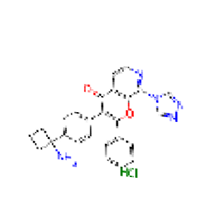 Cl.NC1(c2ccc(-c3c(-c4ccccc4)oc4c(-n5cnnc5)nccc4c3=O)cc2)CCC1